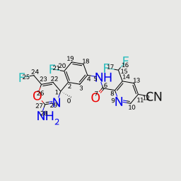 C[C@@]1(c2cc(NC(=O)c3ncc(C#N)cc3C(F)F)ccc2F)C=C(CF)OC(N)=N1